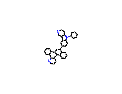 c1ccc(-n2c3ccncc3c3cc(-c4cc5c6ccccc6c6ncccc6c5c5ccccc45)ccc32)cc1